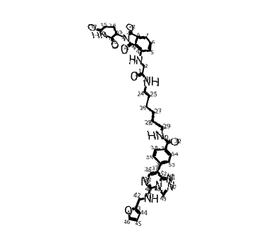 O=C(CNc1cccc2c1C(=O)N(C1CCC(=O)NC1=O)C2=O)NCCCCCCNC(=O)c1ccc(-c2cnc(NCc3ccco3)n3cnnc23)cc1